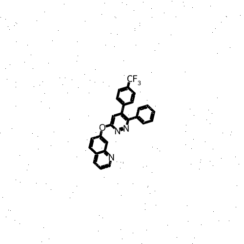 FC(F)(F)c1ccc(-c2cc(Oc3ccc4cccnc4c3)nnc2-c2ccccc2)cc1